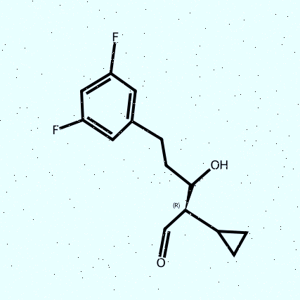 O=C[C@@H]([C](O)CCc1cc(F)cc(F)c1)C1CC1